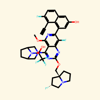 C#Cc1c(F)ccc2cc(O)cc(-c3nc(OC)c4c(N5CC6CCC(C5)N6C(O)C(F)(F)F)nc(OC[C@@]56CCCN5C[C@H](F)C6)nc4c3F)c12